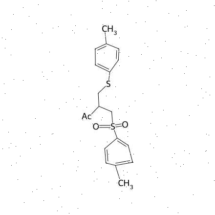 CC(=O)C(CSc1ccc(C)cc1)CS(=O)(=O)c1ccc(C)cc1